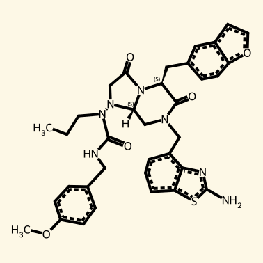 CCCN(C(=O)NCc1ccc(OC)cc1)N1CC(=O)N2[C@@H](Cc3ccc4occc4c3)C(=O)N(Cc3cccc4sc(N)nc34)C[C@@H]21